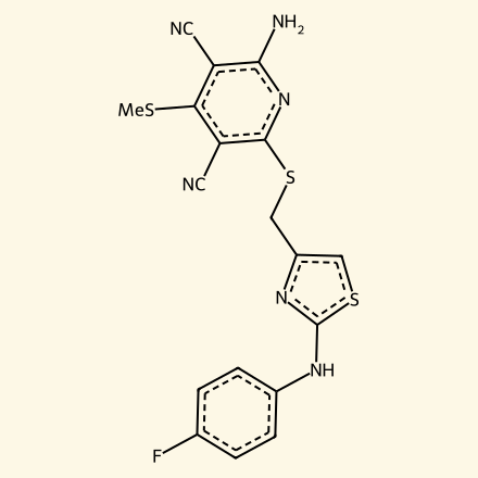 CSc1c(C#N)c(N)nc(SCc2csc(Nc3ccc(F)cc3)n2)c1C#N